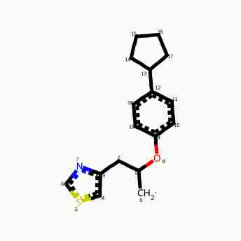 [CH2]C(Cc1cscn1)Oc1ccc(C2CCCC2)cc1